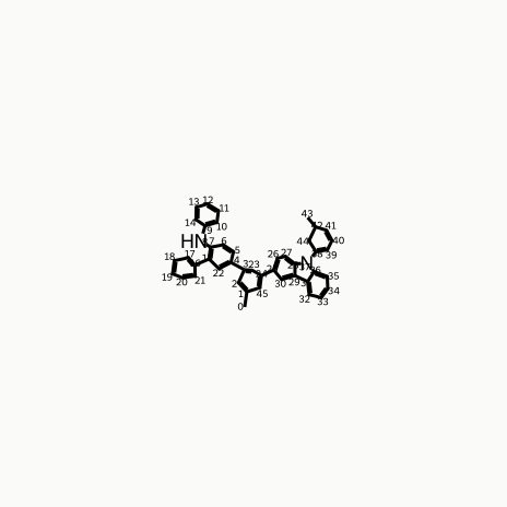 Cc1cc(-c2ccc(Nc3ccccc3)c(-c3ccccc3)c2)cc(-c2ccc3c(c2)c2ccccc2n3C2=CC=CC(C)C2)c1